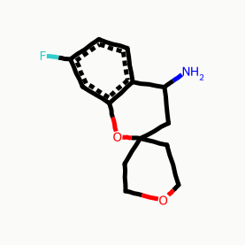 NC1CC2(CCOCC2)Oc2cc(F)ccc21